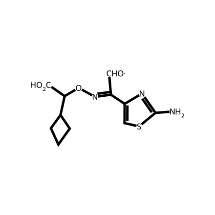 Nc1nc(C([C]=O)=NOC(C(=O)O)C2CCC2)cs1